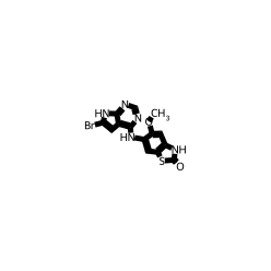 COc1cc2[nH]c(=O)sc2cc1Nc1ncnc2[nH]c(Br)cc12